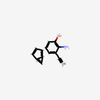 C#Cc1cccc(O)c1N.c1cc2cc-2c1